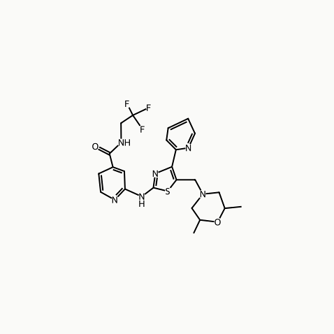 CC1CN(Cc2sc(Nc3cc(C(=O)NCC(F)(F)F)ccn3)nc2-c2ccccn2)CC(C)O1